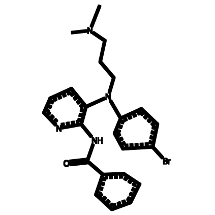 CN(C)CCCN(c1ccc(Br)cc1)c1cccnc1NC(=O)c1ccccc1